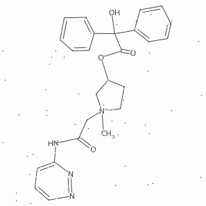 C[N+]1(CC(=O)Nc2cccnn2)CCC(OC(=O)C(O)(c2ccccc2)c2ccccc2)C1